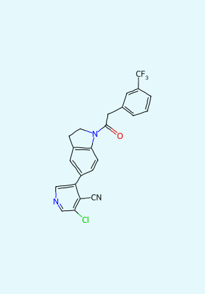 N#Cc1c(Cl)cncc1-c1ccc2c(c1)CCN2C(=O)Cc1cccc(C(F)(F)F)c1